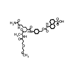 COCCOCCC(=O)N[C@@H](C)C(=O)C[C@@H](CCCNC(N)=O)C(=O)Nc1ccc(COC(=O)Nc2cccc3c(S(=O)(=O)O)cccc23)cc1